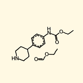 CCOC(=O)Nc1ccc(C2CCNCC2)cc1.CCOC=O